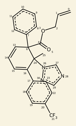 C=CCOC(=O)C1(c2ccccc2)C=CC=C(c2ccc(C(F)(F)F)cc2)C1(C)n1cncn1